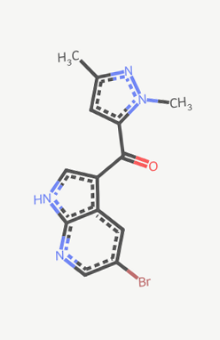 Cc1cc(C(=O)c2c[nH]c3ncc(Br)cc23)n(C)n1